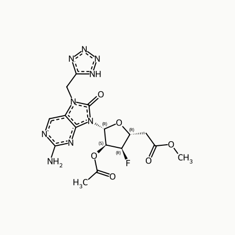 COC(=O)C[C@H]1O[C@@H](n2c(=O)n(Cc3nnn[nH]3)c3cnc(N)nc32)[C@H](OC(C)=O)[C@@H]1F